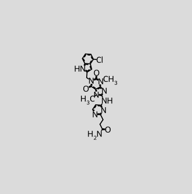 Cn1c(Nc2ccnc(CCC(N)=O)n2)nc2c1c(=O)n(Cc1cc3c(Cl)cccc3[nH]1)c(=O)n2C